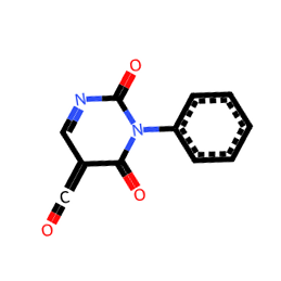 O=C=C1C=NC(=O)N(c2ccccc2)C1=O